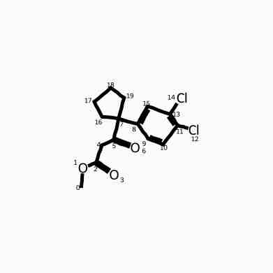 COC(=O)CC(=O)C1(c2ccc(Cl)c(Cl)c2)CCCC1